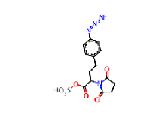 [N-]=[N+]=Nc1ccc(CCC(C(=O)OS(=O)(=O)O)N2C(=O)CCC2=O)cc1